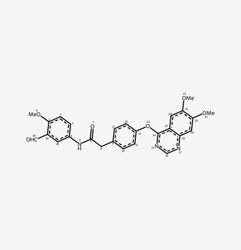 COc1ccc(NC(=O)Cc2ccc(Oc3ncnc4cc(OC)c(OC)cc34)cc2)cc1C=O